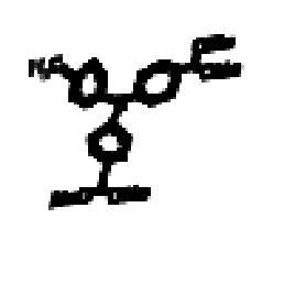 COC(OC)c1ccc(N(c2ccc(C)cc2)c2ccc(C(OC)OC)cc2)cc1